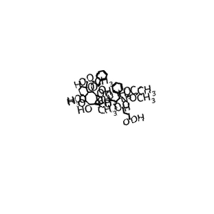 CC(=O)O[C@@]12CO[C@@H]1C[C@H](O)[C@@]1(C)C(=O)C(O)C3=C(C)[C@@H](OC(=O)[C@H](OC(=O)CCC(=O)O)[C@@H](NC(=O)OC(C)(C)C)c4ccccc4)C[C@@](O)([C@@H](OC(=O)c4ccccc4)C12)C3(C)C